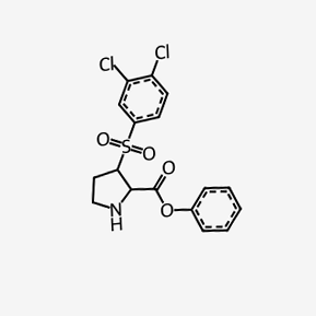 O=C(Oc1ccccc1)C1NCCC1S(=O)(=O)c1ccc(Cl)c(Cl)c1